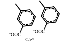 Cc1cccc(C(=O)[O-])c1.Cc1cccc(C(=O)[O-])c1.[Ca+2]